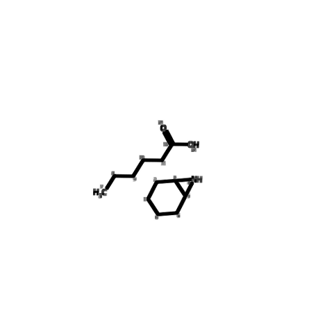 C1CCC2NC2C1.CCCCCC(=O)O